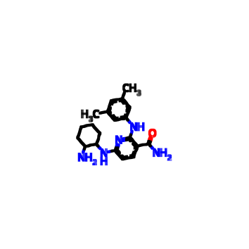 Cc1cc(C)cc(Nc2nc(NC3CCCCC3N)ccc2C(N)=O)c1